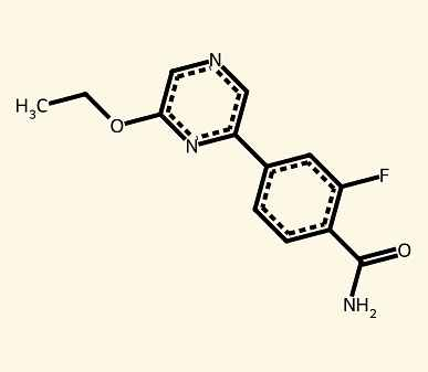 CCOc1cncc(-c2ccc(C(N)=O)c(F)c2)n1